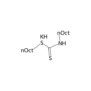 CCCCCCCCNC(=S)SCCCCCCCC.[KH]